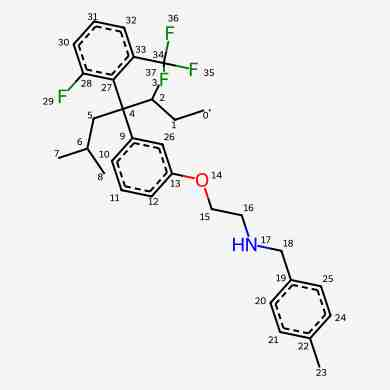 [CH2]CC(C)C(CC(C)C)(c1cccc(OCCNCc2ccc(C)cc2)c1)c1c(F)cccc1C(F)(F)F